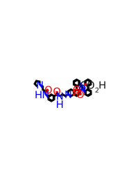 O=C(CCN1CCCC1)Nc1cccc(C(=O)NCCN2CCC(OC(=O)N(c3ccccc3-c3ccccc3)N(C(=O)O)c3ccccc3-c3ccccc3)CC2)c1